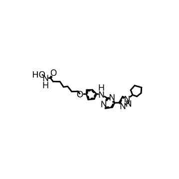 O=C(CCCCCCOc1ccc(Nc2nccc(-c3cn(C4CCCCC4)nn3)n2)cc1)NO